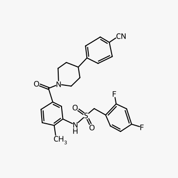 Cc1ccc(C(=O)N2CCC(c3ccc(C#N)cc3)CC2)cc1NS(=O)(=O)Cc1ccc(F)cc1F